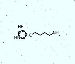 CCCCCN.F.c1cc[nH]c1